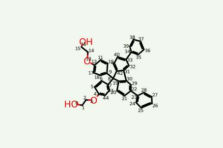 OCCOc1ccc(C2(c3ccc(OCCO)cc3)c3ccc(-c4ccccc4)cc3-c3cc(-c4ccccc4)ccc32)cc1